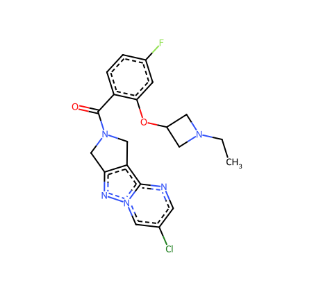 CCN1CC(Oc2cc(F)ccc2C(=O)N2Cc3nn4cc(Cl)cnc4c3C2)C1